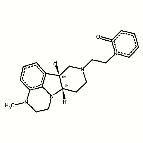 CN1CCN2c3c(cccc31)[C@@H]1CN(CCn3ccccc3=O)CC[C@@H]12